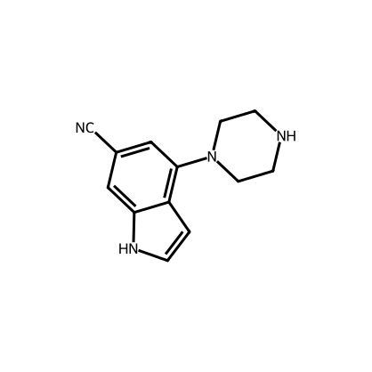 N#Cc1cc(N2CCNCC2)c2cc[nH]c2c1